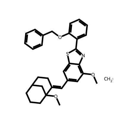 COc1cc(C=C2CCC3CCCC2(OC)C3)cc2sc(-c3ccccc3OCc3ccccc3)nc12.[CH2]